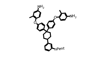 CCCCCc1cccc(C2CCC(c3ccc(Oc4ccc(N)cc4C)cc3)(c3ccc(Oc4ccc(N)cc4C)cc3)CC2)c1